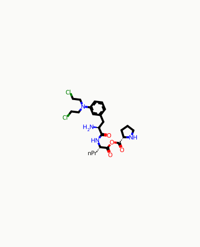 CCC[C@H](NC(=O)[C@@H](N)Cc1cccc(N(CCCl)CCCl)c1)C(=O)OC(=O)[C@@H]1CCCN1